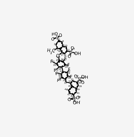 Cc1cc(S(=O)(=O)O)cc2cc(S(=O)(=O)O)cc(Oc3c(F)c(F)c(-c4c(F)c(F)c(Cc5cc(S(=O)(=O)O)cc6cc(S(=O)(=O)O)ccc56)c(F)c4F)c(F)c3F)c12